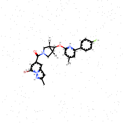 Cc1cc2cc(C(=O)N3C[C@@H]4C(Oc5cc(C(C)C)cc(-c6ccc(F)cc6)n5)[C@@H]4C3)cc(Br)n2n1